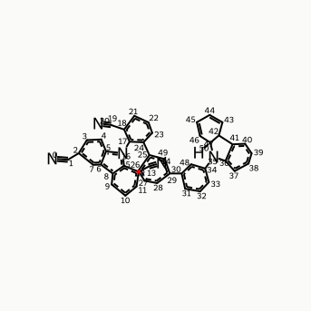 N#Cc1ccc2c(c1)c1cccc(C#N)c1n2-c1c(C#N)cccc1-c1cccc(-c2cccc(N3c4ccccc4C4C=CC=C[C@H]43)c2)c1